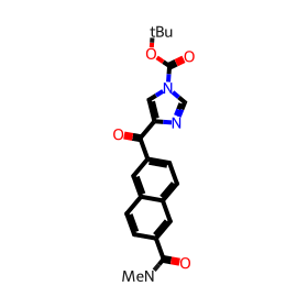 CNC(=O)c1ccc2cc(C(=O)c3cn(C(=O)OC(C)(C)C)cn3)ccc2c1